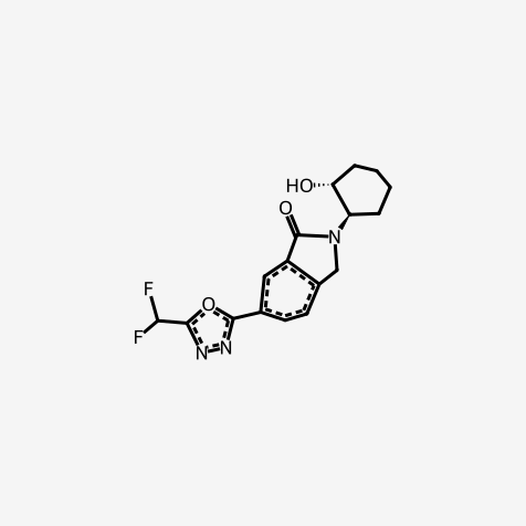 O=C1c2cc(-c3nnc(C(F)F)o3)ccc2CN1[C@@H]1CCCC[C@H]1O